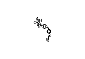 CCNC(=O)c1cnc(N2CCN(Cc3ccc(OCCOC)cc3)CC2)s1